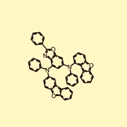 c1ccc(-c2nc3c(N(c4ccccc4)c4ccc5oc6ccccc6c5c4)cc(N(c4ccccc4)c4cccc5oc6ccccc6c45)cc3o2)cc1